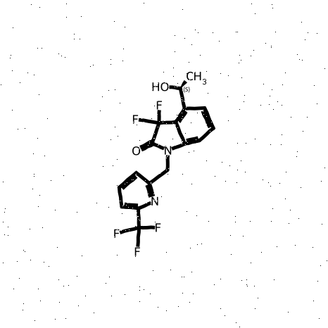 C[C@H](O)c1cccc2c1C(F)(F)C(=O)N2Cc1cccc(C(F)(F)F)n1